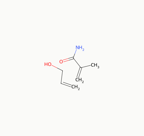 C=C(C)C(N)=O.C=CCO